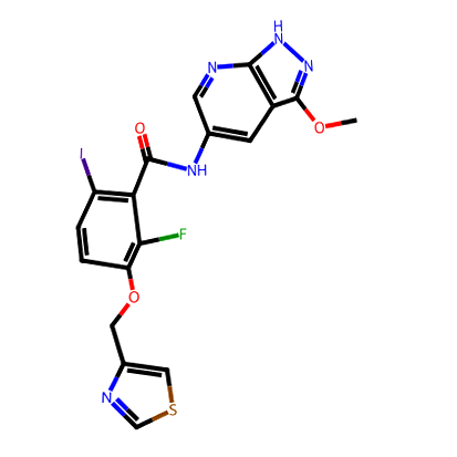 COc1n[nH]c2ncc(NC(=O)c3c(I)ccc(OCc4cscn4)c3F)cc12